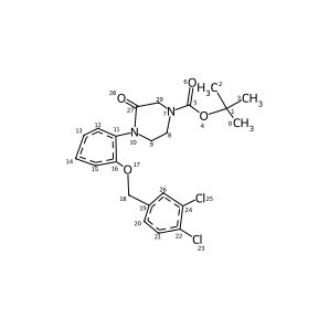 CC(C)(C)OC(=O)N1CCN(c2ccccc2OCc2ccc(Cl)c(Cl)c2)C(=O)C1